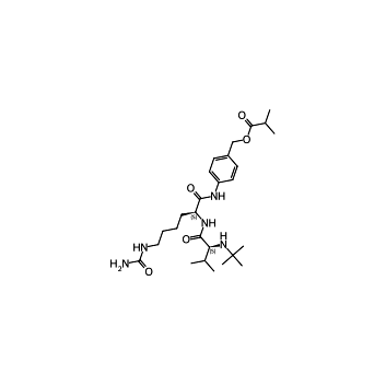 CC(C)C(=O)OCc1ccc(NC(=O)[C@H](CCCCNC(N)=O)NC(=O)[C@@H](NC(C)(C)C)C(C)C)cc1